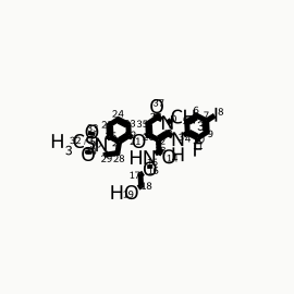 Cn1c(Nc2ccc(I)cc2F)c(C(=O)NOCCO)c(Oc2cccc3c2CCN3S(C)(=O)=O)cc1=O